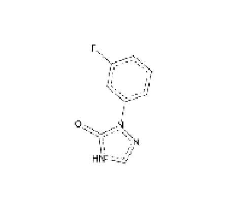 O=c1[nH]cnn1-c1cccc(F)c1